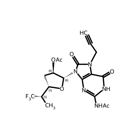 C#CCn1c(=O)n([C@@H]2O[C@H]([C@H](C)C(F)(F)F)C[C@H]2OC(C)=O)c2nc(NC(C)=O)[nH]c(=O)c21